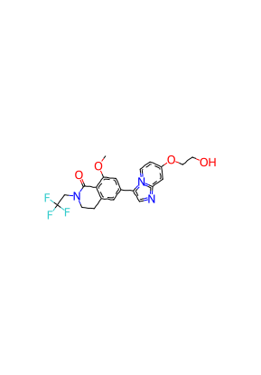 COc1cc(-c2cnc3cc(OCCO)ccn23)cc2c1C(=O)N(CC(F)(F)F)CC2